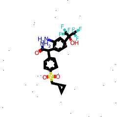 NC(=O)C(c1ccc(S(=O)(=O)CC2CC2)cc1)c1ccc(C(O)(C(F)(F)F)C(F)(F)F)cc1N